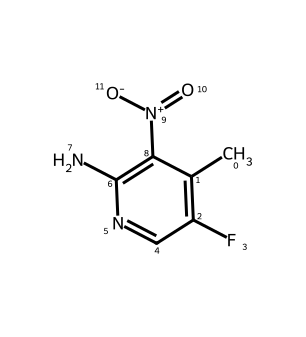 Cc1c(F)cnc(N)c1[N+](=O)[O-]